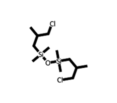 CC(CCl)C[Si](C)(C)O[Si](C)(C)CC(C)CCl